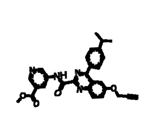 C#CCOc1ccc2nc(C(=O)Nc3cncc(C(=O)OC)c3)nc(-c3ccc(C(C)C)cc3)c2c1